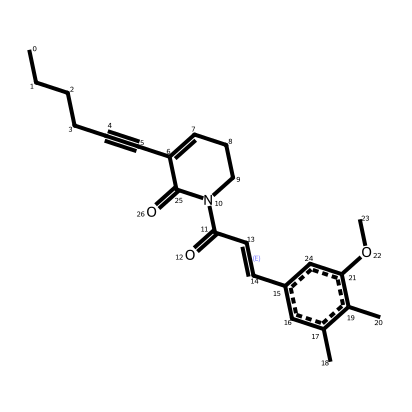 CCCCC#CC1=CCCN(C(=O)/C=C/c2cc(C)c(C)c(OC)c2)C1=O